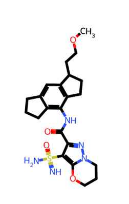 COCCC1CCc2c1cc1c(c2NC(=O)c2nn3c(c2S(=N)(N)=O)OCCC3)CCC1